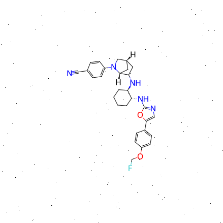 N#Cc1ccc(N2C[C@@H]3CC(N[C@@H]4CCCC[C@H]4Nc4ncc(-c5ccc(OCF)cc5)o4)[C@H]2C3)cc1